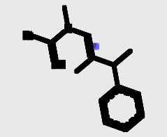 CCC(=N)N(C)/C=C(\C)C(C)c1ccccc1